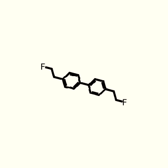 FCCc1ccc(-c2ccc(CCF)cc2)cc1